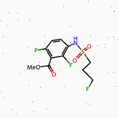 COC(=O)c1c(F)ccc(NS(=O)(=O)CCCF)c1F